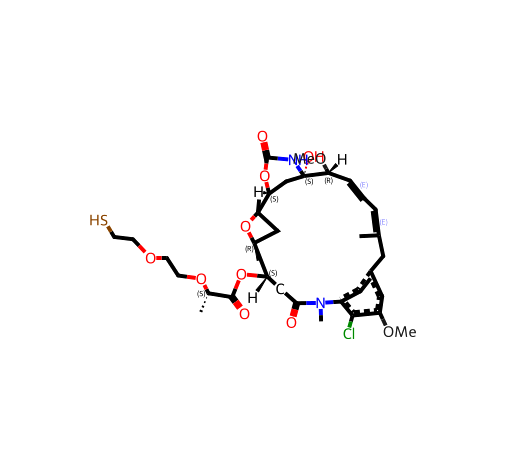 COc1cc2cc(c1Cl)N(C)C(=O)C[C@H](OC(=O)[C@H](C)OCCOCCS)[C@@]1(C)CC(C)(O1)[C@@H]1C[C@@](O)(NC(=O)O1)[C@H](OC)/C=C/C=C(\C)C2